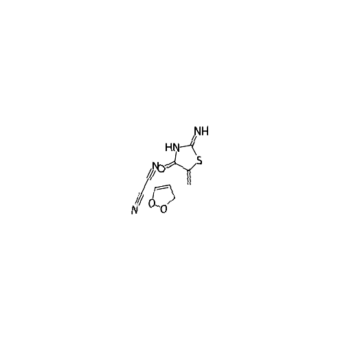 C1=COOC1.C=C1SC(=N)NC1=O.N#CC#N